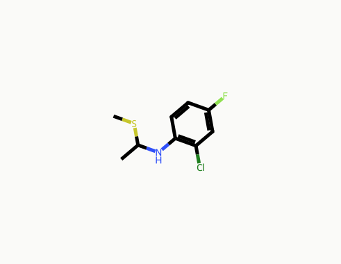 CSC(C)Nc1ccc(F)cc1Cl